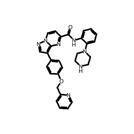 O=C(Nc1ccccc1N1CCNCC1)c1ccn2ncc(-c3ccc(OCc4ccccn4)cc3)c2n1